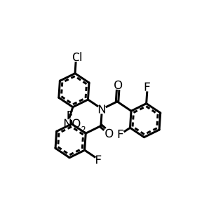 O=C(c1c(F)cccc1F)N(C(=O)c1c(F)cccc1F)c1cc(Cl)ccc1[N+](=O)[O-]